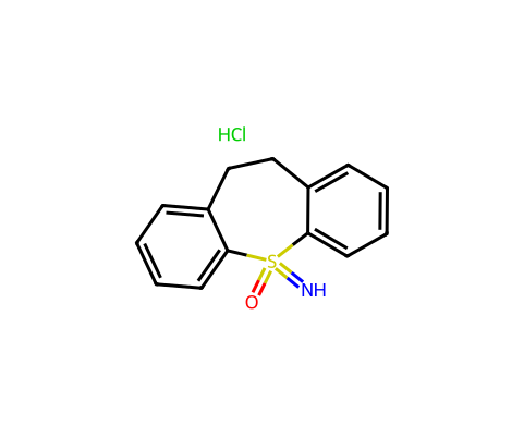 Cl.N=S1(=O)c2ccccc2CCc2ccccc21